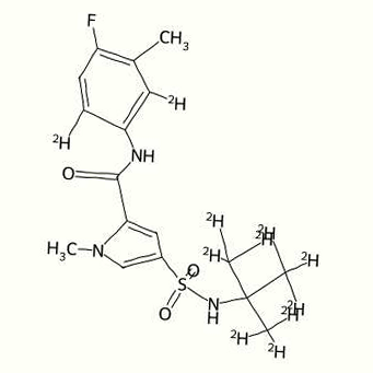 [2H]c1cc(F)c(C)c([2H])c1NC(=O)c1cc(S(=O)(=O)NC(C([2H])([2H])[2H])(C([2H])([2H])[2H])C([2H])([2H])[2H])cn1C